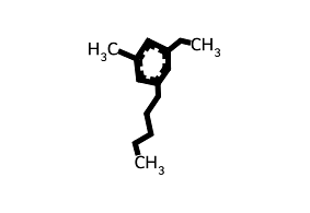 CCCCCc1cc(C)cc(CC)c1